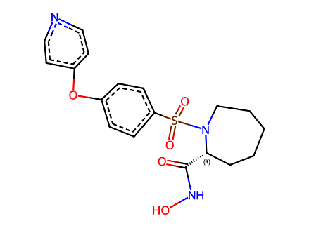 O=C(NO)[C@H]1CCCCCN1S(=O)(=O)c1ccc(Oc2ccncc2)cc1